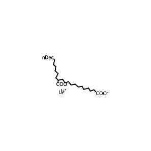 CCCCCCCCCCCCCCCCC(CCCCCCCCCCCC(=O)[O-])C(=O)[O-].[Li+].[Li+]